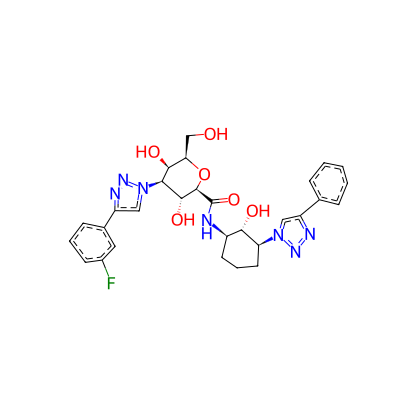 O=C(N[C@@H]1CCC[C@H](n2cc(-c3ccccc3)nn2)[C@H]1O)[C@@H]1O[C@H](CO)[C@H](O)[C@H](n2cc(-c3cccc(F)c3)nn2)[C@H]1O